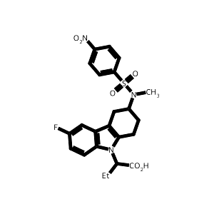 CCC(C(=O)O)n1c2c(c3cc(F)ccc31)CC(N(C)S(=O)(=O)c1ccc([N+](=O)[O-])cc1)CC2